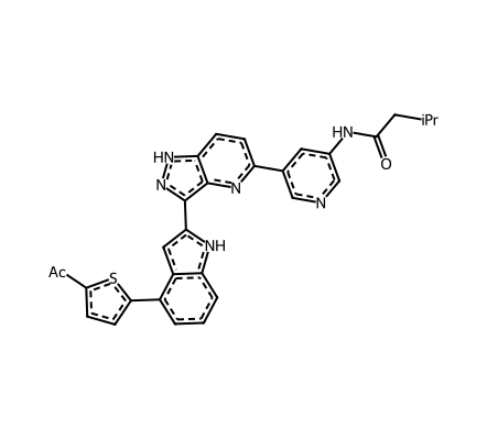 CC(=O)c1ccc(-c2cccc3[nH]c(-c4n[nH]c5ccc(-c6cncc(NC(=O)CC(C)C)c6)nc45)cc23)s1